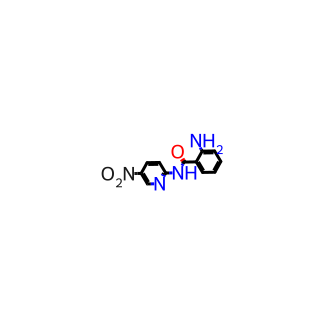 Nc1ccccc1C(=O)Nc1ccc([N+](=O)[O-])cn1